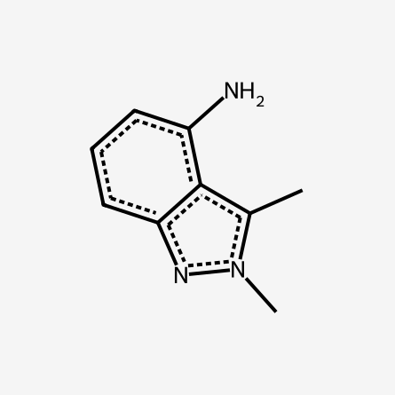 Cc1c2c(N)cccc2nn1C